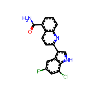 NC(=O)c1cccc2nc(-c3c[nH]c4c(Cl)cc(F)cc34)ccc12